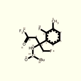 Cc1cccc(C(CF)(CC(=O)C(F)(F)F)N[S+]([O-])C(C)(C)C)c1F